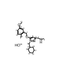 CNCc1cc(OCc2cc(OC)ccc2F)n(CC2CCCCC2)n1.Cl